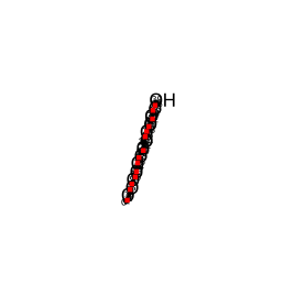 C#CCOCCOCCOCCOCCOCCOCCOCCOCCOCCOCCOCCOCCO